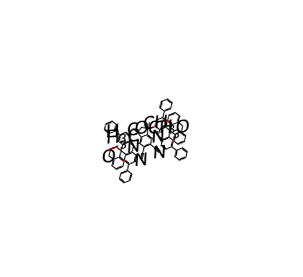 CC1(C)OC(C)(C)c2c(N3c4ccc(-c5ccccc5)cc4C4(c5ccccc5Oc5ccccc54)c4cc(-c5ccccc5)ccc43)c(C#N)c(C#N)c(N3c4ccc(-c5ccccc5)cc4C4(c5ccccc5Oc5ccccc54)c4cc(-c5ccccc5)ccc43)c21